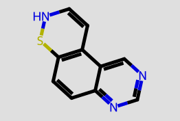 C1=Cc2c(ccc3ncncc23)SN1